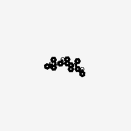 c1ccc(N(c2ccc3c(c2)oc2ccccc23)c2cc3c4cccc5c4c(cc3c3ccccc23)-c2ccc(N(c3ccccc3)c3cccc4c3oc3ccccc34)cc2O5)cc1